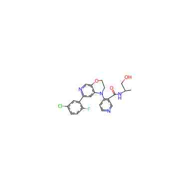 CC(CO)NC(=O)c1cnccc1N1CCOc2cnc(-c3cc(Cl)ccc3F)cc21